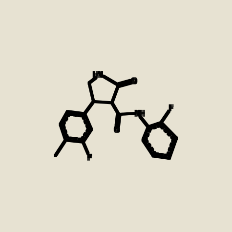 Cc1ccc(C2CNC(=O)C2C(=O)Nc2ccccc2F)cc1F